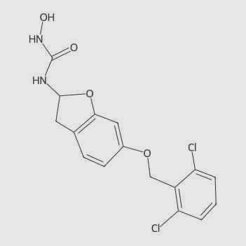 O=C(NO)NC1Cc2ccc(OCc3c(Cl)cccc3Cl)cc2O1